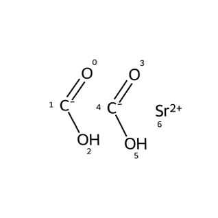 O=[C-]O.O=[C-]O.[Sr+2]